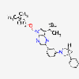 C=C(c1cn(COCC[Si](C)(C)C)c2ncc(-c3cccc(N4C[C@@H]5C[C@]5(c5ccccc5)C4)c3)nc12)C(C)(C)C